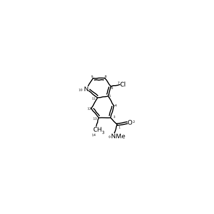 CNC(=O)c1cc2c(Cl)ccnc2cc1C